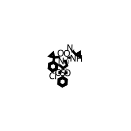 N#CC1(NC(=O)[C@@H]2C[C@@H](S(=O)(=O)c3ccccc3)CN2C(=O)C2(c3ccc(Cl)cc3)CC2)CC1